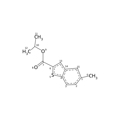 Cc1ccc2sc(C(=O)OC(C)C)cc2c1